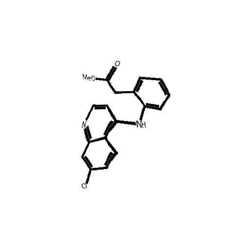 COC(=O)Cc1ccccc1Nc1ccnc2cc(Cl)ccc12